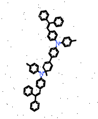 Cc1ccc(N(c2ccc(C=C(c3ccccc3)c3ccccc3)cc2)c2ccc(C3=CCC(C)(N(c4ccc(C)cc4)c4ccc(C=C(c5ccccc5)c5ccccc5)cc4)C=C3)cc2)cc1